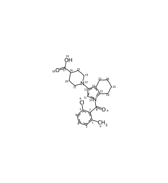 Cc1cccc(Cl)c1C(=O)n1cc(N2CCC(C(=O)O)CC2)c2c1CCCC2